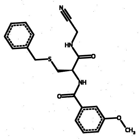 COc1cccc(C(=O)N[C@@H](CSCc2ccccc2)C(=O)NCC#N)c1